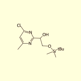 Cc1cc(Cl)nc(C(O)CO[Si](C)(C)C(C)(C)C)n1